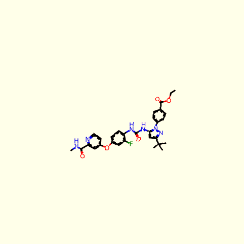 CCOC(=O)c1ccc(-n2nc(C(C)(C)C)cc2NC(=O)Nc2ccc(Oc3ccnc(C(=O)NC)c3)cc2F)cc1